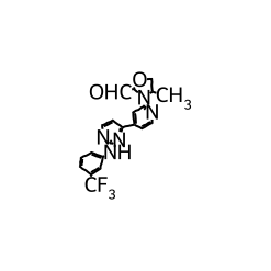 CC1COC(C=O)N1c1cc(-c2ccnc(Nc3cccc(C(F)(F)F)c3)n2)ccn1